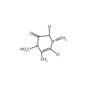 C=[N+]1C(Cl)=C(C)N(C(=O)O)C(=O)C1Cl